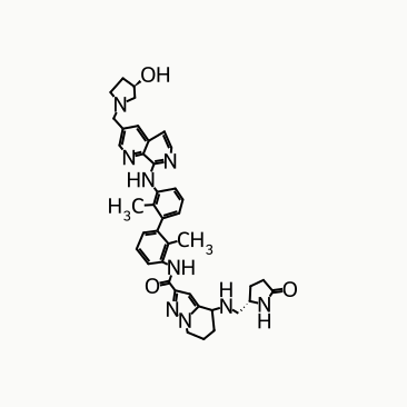 Cc1c(NC(=O)c2cc3n(n2)CCCC3NC[C@@H]2CCC(=O)N2)cccc1-c1cccc(Nc2nccc3cc(CN4CC[C@@H](O)C4)cnc23)c1C